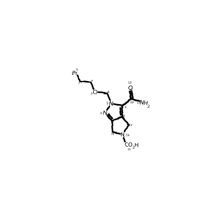 CC(C)CCOCn1nc2c(c1C(N)=O)CN(C(=O)O)C2